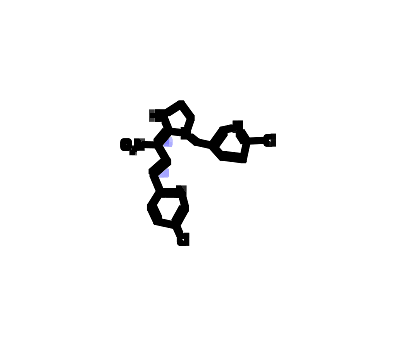 O=[N+]([O-])C(/C=C/c1ccc(Cl)cn1)=C1\NCCN1Cc1ccc(Cl)nc1